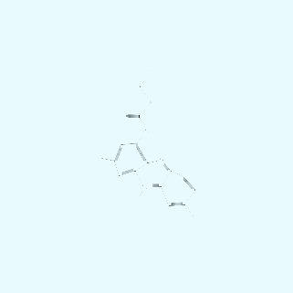 CC[n+]1c2cc(F)ccc2nc2c(NC(=O)CCC(C)=O)cc(F)cc21